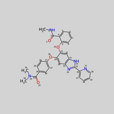 CNC(=O)c1ccccc1Oc1cc2[nH]c(-c3ccccn3)nc2cc1Oc1ccc(C(=O)N(C)C)cc1